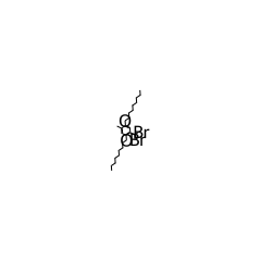 CCCCCCCCOc1cc(C(Br)Br)c(OCCCCCCCC)cc1C